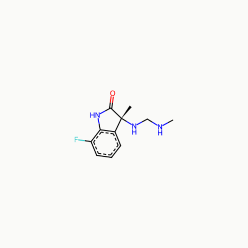 CNCN[C@@]1(C)C(=O)Nc2c(F)cccc21